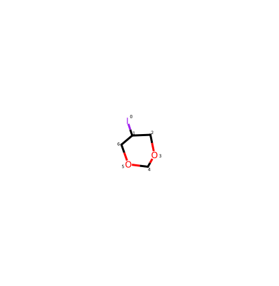 IC1COCOC1